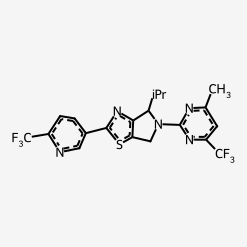 Cc1cc(C(F)(F)F)nc(N2Cc3sc(-c4ccc(C(F)(F)F)nc4)nc3C2C(C)C)n1